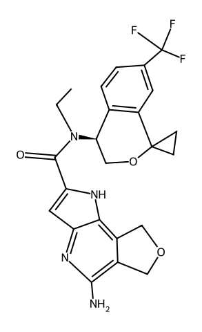 CCN(C(=O)c1cc2nc(N)c3c(c2[nH]1)COC3)[C@@H]1COC2(CC2)c2cc(C(F)(F)F)ccc21